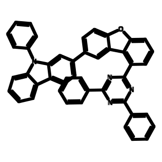 c1ccc(-c2nc(-c3ccccc3)nc(-c3cccc4oc5ccc(-c6ccc7c8ccccc8n(-c8ccccc8)c7c6)cc5c34)n2)cc1